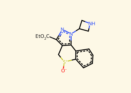 CCOC(=O)c1nn(C2CNC2)c2c1C[S+]([O-])c1ccccc1-2